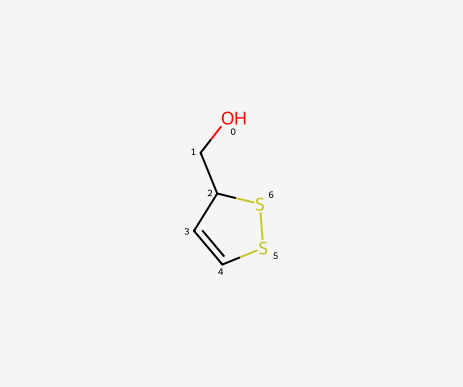 OCC1C=CSS1